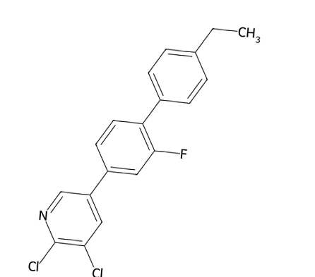 CCc1ccc(-c2ccc(-c3cnc(Cl)c(Cl)c3)cc2F)cc1